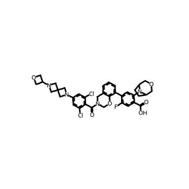 O=C(O)c1cc(F)c(-c2cccc3c2OCN(C(=O)c2c(Cl)cc(N4CC5(C4)CN(C4COC4)C5)cc2Cl)C3)cc1N1C2CCC1COC2